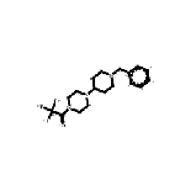 O=C(N1CCN(C2CCN(Cc3ccccc3)CC2)CC1)C(F)(F)F